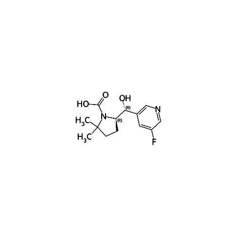 CC1(C)CC[C@H]([C@H](O)c2cncc(F)c2)N1C(=O)O